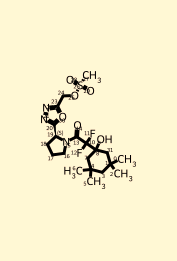 CC1(C)CC(C)(C)CC(O)(C(F)(F)C(=O)N2CCC[C@H]2c2nnc(COS(C)(=O)=O)o2)C1